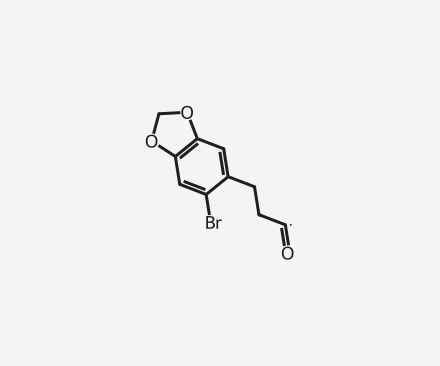 O=[C]CCc1cc2c(cc1Br)OCO2